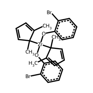 CC1=CC=C[C]1(C)[Zr]([O]c1ccccc1Br)([O]c1ccccc1Br)[C]1(C)C=CC=C1C